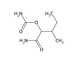 CCC(C)C(OC(N)=O)C(N)=O